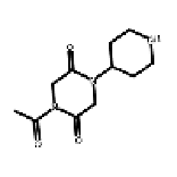 CC(=O)N1CC(=O)N(C2CCNCC2)CC1=O